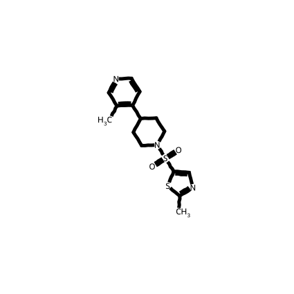 Cc1ncc(S(=O)(=O)N2CCC(c3ccncc3C)CC2)s1